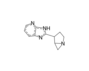 c1cnc2[nH]c(C3CCN4CC34)nc2c1